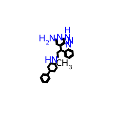 CC1(NCCC(c2ccccc2)c2cc(N)nc3[nH]nnc23)CCC(c2ccccc2)CC1